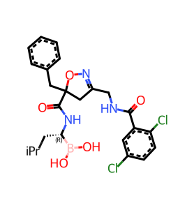 CC(C)C[C@H](NC(=O)C1(Cc2ccccc2)CC(CNC(=O)c2cc(Cl)ccc2Cl)=NO1)B(O)O